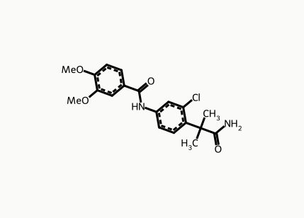 COc1ccc(C(=O)Nc2ccc(C(C)(C)C(N)=O)c(Cl)c2)cc1OC